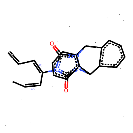 C=C/C=C(\C=C/C)n1c(=O)n2n(c1=O)C1c3ccccc3C2c2ccccc21